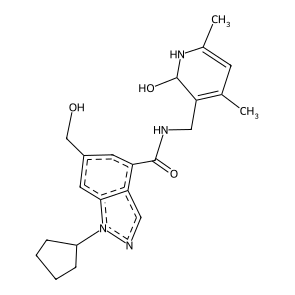 CC1=CC(C)=C(CNC(=O)c2cc(CO)cc3c2cnn3C2CCCC2)C(O)N1